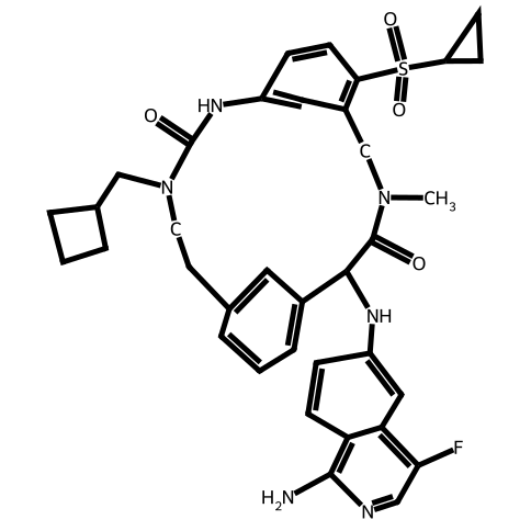 CN1Cc2cc(ccc2S(=O)(=O)C2CC2)NC(=O)N(CC2CCC2)CCc2cccc(c2)C(Nc2ccc3c(N)ncc(F)c3c2)C1=O